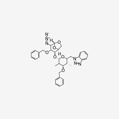 CC1[C@H](O[C@H]2C(OCc3ccccc3)C(N=[N+]=[N-])[C@@H]3OC[C@@H]2O3)OC(Cn2nnc3ccccc32)[C@H](C)[C@H]1OCc1ccccc1